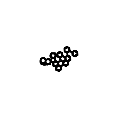 c1ccc(-c2ccccc2-c2ccccc2-c2ccccc2N(c2ccccc2-c2ccccc2)c2cccc3c2-c2ccccc2C32CC3CCC4CCC2CC3C4)cc1